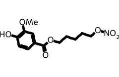 COc1cc(C(=O)OCCCCCO[N+](=O)[O-])ccc1O